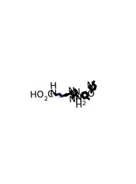 Cc1ccc(Oc2ccc(Nc3ncnc(C#C/C=C/CNC(=O)O)c3N)cc2C)cn1